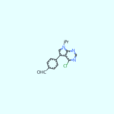 CC(C)n1cc(-c2ccc(C=O)cc2)c2c(Cl)ncnc21